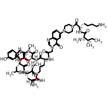 CC[C@H](C)[C@H](N)C(=O)N[C@@H](CCCCN)C(=O)N1CCN(c2ccc3ncn(CC(=O)N[C@@H](CCCNC(=N)N)C(=O)N[C@@H](Cc4c[nH]cn4)C(=O)N(C)[C@@H](Cc4ccc(O)cc4)C(=O)N[C@@H](CC(C)C)C(=O)N[C@@H](CC(N)=O)C(=O)NC)c(=O)c3c2)CC1